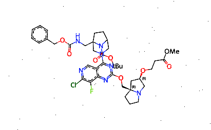 COC(=O)CCO[C@H]1CN2CCC[C@]2(COc2nc(N3CC4CCC(CNC(=O)OCc5ccccc5)(C3)N4C(=O)OC(C)(C)C)c3cnc(Cl)c(F)c3n2)C1